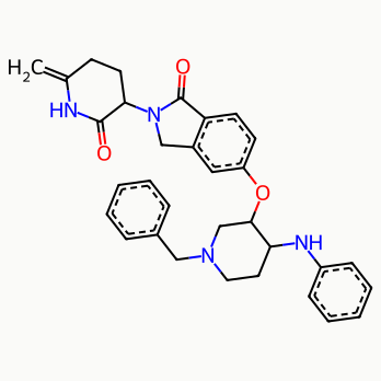 C=C1CCC(N2Cc3cc(OC4CN(Cc5ccccc5)CCC4Nc4ccccc4)ccc3C2=O)C(=O)N1